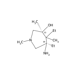 CCC1(C)[C@](N)(CC)CN(C)C[C@@]1(C)O